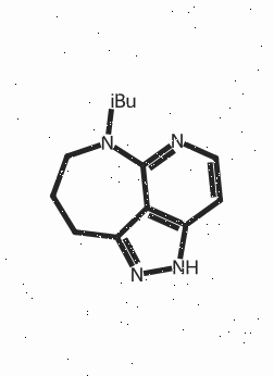 CCC(C)N1CCCc2n[nH]c3ccnc1c23